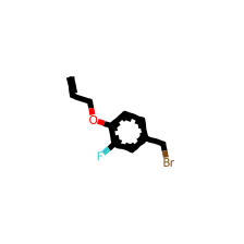 C=CCOc1ccc(CBr)cc1F